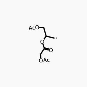 [CH]C(COC(C)=O)OC(=O)COC(C)=O